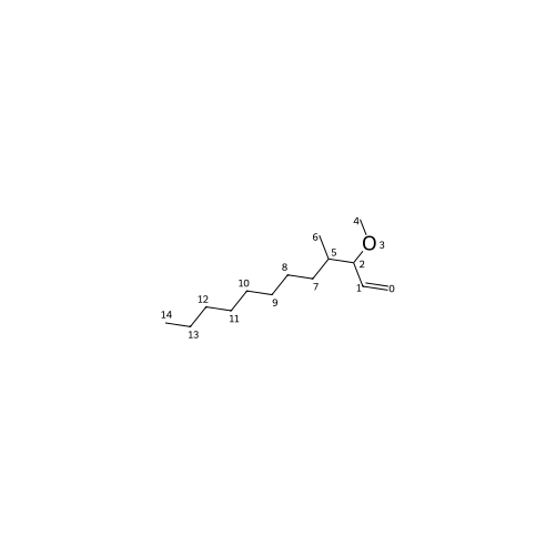 C=CC(OC)C(C)CCCCCCCC